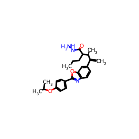 C=C(c1ccc2nc(-c3ccc(OC(C)C)cc3)oc2c1)[C@H](C)C(CCC)C(=O)NN